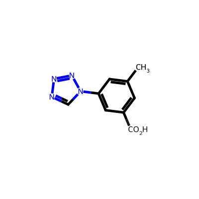 Cc1cc(C(=O)O)cc(-n2cnnn2)c1